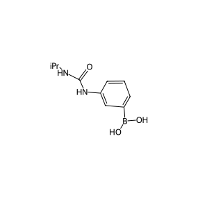 CC(C)NC(=O)Nc1cccc(B(O)O)c1